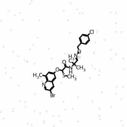 CSC(Oc1cc(C)c2ncc(Br)cc2c1)C(=O)NC(C)(C)/C=N/OCc1ccc(Cl)cc1